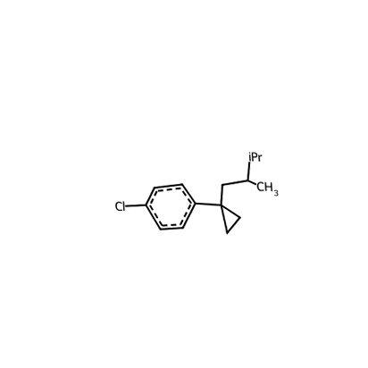 CC(C)C(C)CC1(c2ccc(Cl)cc2)CC1